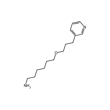 NCCCCCCOCCCc1cccnc1